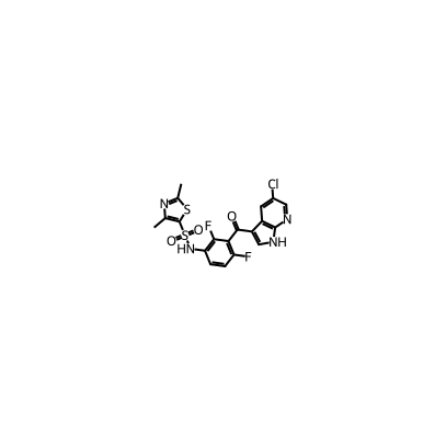 Cc1nc(C)c(S(=O)(=O)Nc2ccc(F)c(C(=O)c3c[nH]c4ncc(Cl)cc34)c2F)s1